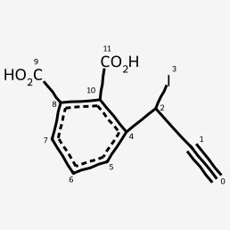 C#CC(I)c1cccc(C(=O)O)c1C(=O)O